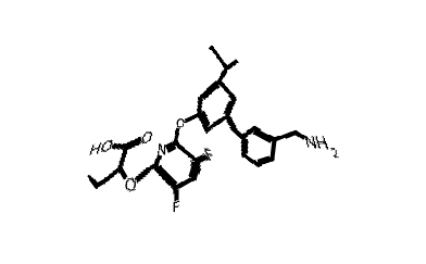 CCC(Oc1nc(Oc2cc(-c3cccc(CN)c3)cc(C(C)C)c2)c(F)cc1F)C(=O)O